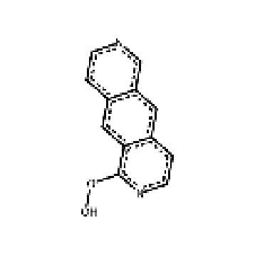 OOc1nccc2cc3cnccc3cc12